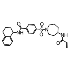 C=CC(=O)NC1CCCN(S(=O)(=O)c2ccc(C(=O)NC3CCCc4ccccc43)cc2)CC1